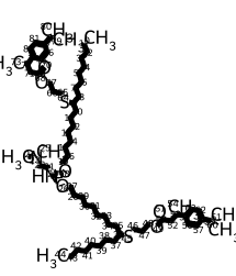 CCCCCCCCCC(CCCCCCCCOP(NCCN(C)C)OCCCCCCCCCC(CCCCCCCC)SCCCOC(=O)CC(C)c1ccc(C(C)C)cc1)SCCCOC(=O)CC(C)c1ccc(C(C)C)cc1